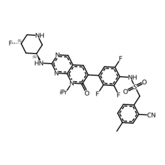 Cc1ccc(CS(=O)(=O)Nc2c(F)cc(-c3cc4cnc(N[C@@H]5CNC[C@@H](F)C5)nc4n(C(C)C)c3=O)c(F)c2F)c(C#N)c1